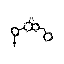 N#Cc1cccc(-c2nc(N)c3cc(Cc4cnccn4)sc3n2)c1